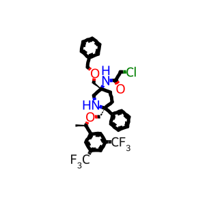 C[C@@H](OC[C@@]1(c2ccccc2)CC[C@@](COCc2ccccc2)(NC(=O)CCl)CN1)c1cc(C(F)(F)F)cc(C(F)(F)F)c1